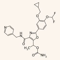 CC(OC(N)=O)c1oc(-c2ccc(OC(F)F)c(OCC3CC3)c2)nc1C(=O)NCc1ccncc1